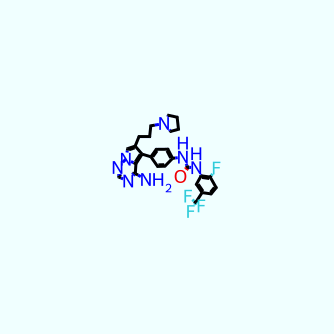 Nc1ncnn2cc(CCCN3CCCC3)c(-c3ccc(NC(=O)Nc4cc(C(F)(F)F)ccc4F)cc3)c12